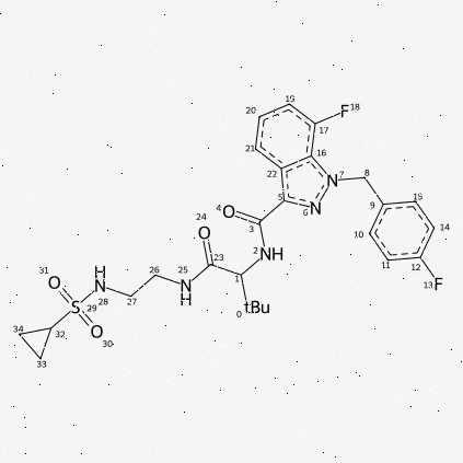 CC(C)(C)C(NC(=O)c1nn(Cc2ccc(F)cc2)c2c(F)cccc12)C(=O)NCCNS(=O)(=O)C1CC1